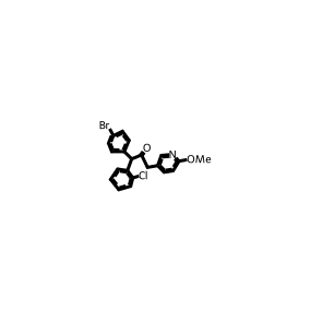 COc1ccc(CC(=O)C(c2ccc(Br)cc2)c2ccccc2Cl)cn1